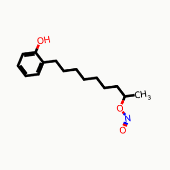 CC(CCCCCCCc1ccccc1O)ON=O